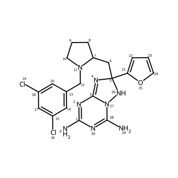 NC1=NC2=NC(CC3CCCN3Cc3cc(Cl)cc(Cl)c3)(c3ccco3)NN2C(N)=N1